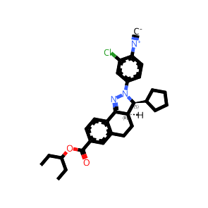 [C-]#[N+]c1ccc(N2N=C3c4ccc(C(=O)OC(CC)CC)cc4CC[C@@H]3[C@@H]2C2CCCC2)cc1Cl